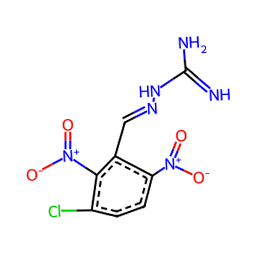 N=C(N)NN=Cc1c([N+](=O)[O-])ccc(Cl)c1[N+](=O)[O-]